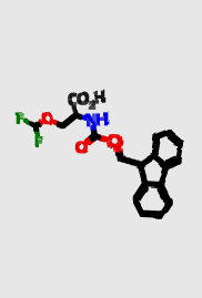 O=C(N[C@@H](COC(F)F)C(=O)O)OCC1c2ccccc2-c2ccccc21